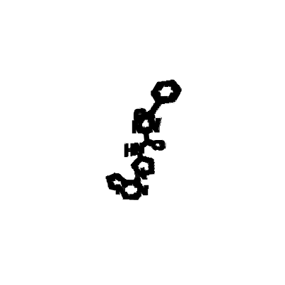 O=C(NC1CCN(c2nccn3cccc23)C1)c1noc(-c2ccccc2)n1